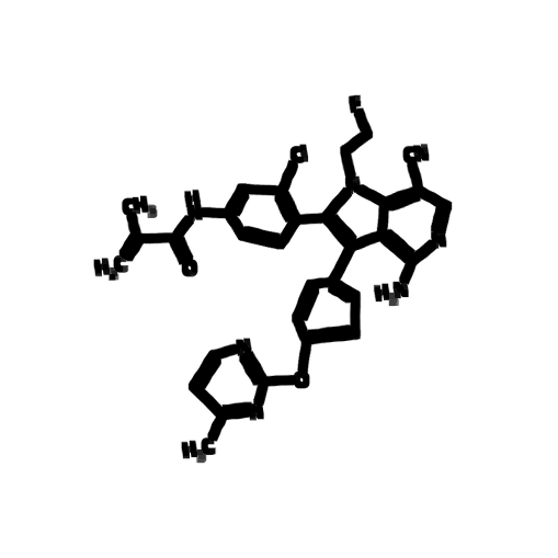 C=C(C)C(=O)Nc1ccc(-c2c(-c3ccc(Oc4nccc(C)n4)cc3)c3c(N)ncc(C#N)c3n2CCF)c(Cl)c1